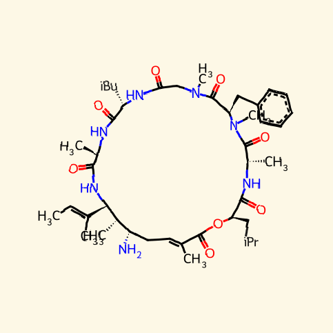 C/C=C(\C)[C@H]1NC(=O)[C@@H](C)NC(=O)[C@H](C(C)CC)NC(=O)CN(C)C(=O)[C@@H](Cc2ccccc2)N(C)C(=O)[C@H](C)NC(=O)[C@@H](CC(C)C)OC(=O)/C(C)=C/C[C@H](N)[C@@H]1C